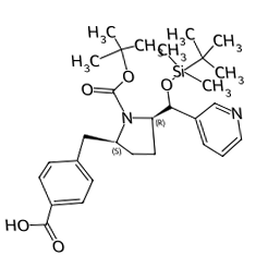 CC(C)(C)OC(=O)N1[C@H](Cc2ccc(C(=O)O)cc2)CC[C@@H]1C(O[Si](C)(C)C(C)(C)C)c1cccnc1